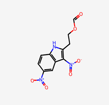 O=COCCc1[nH]c2ccc([N+](=O)[O-])cc2c1[N+](=O)[O-]